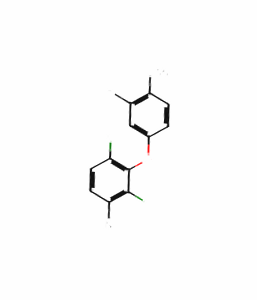 COc1ccc(Oc2c(Cl)c[c]c([N+](=O)[O-])c2Cl)cc1C(C)C